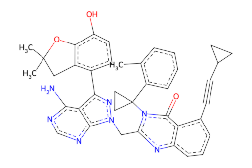 Cc1ccccc1C1(n2c(Cn3nc(-c4ccc(O)c5c4CC(C)(C)O5)c4c(N)ncnc43)nc3cccc(C#CC4CC4)c3c2=O)CC1